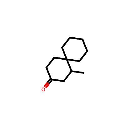 CC1CC(=O)CCC12CCCCC2